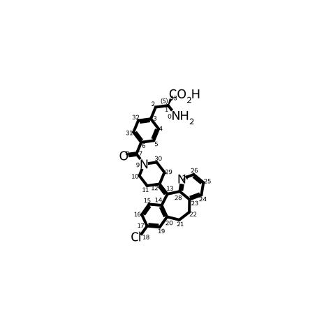 N[C@@H](Cc1ccc(C(=O)N2CCC(=C3c4ccc(Cl)cc4CCc4cccnc43)CC2)cc1)C(=O)O